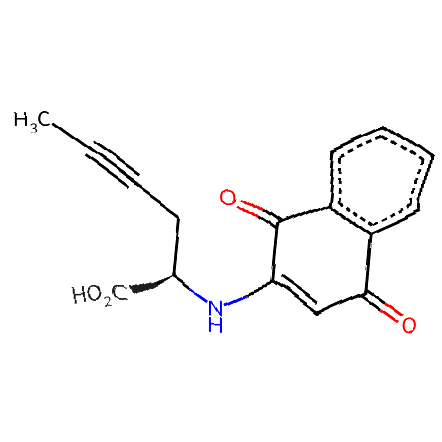 CC#CC[C@@H](NC1=CC(=O)c2ccccc2C1=O)C(=O)O